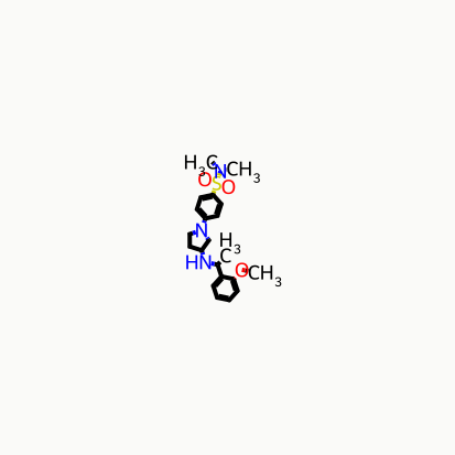 COc1ccccc1C(C)NC1CCN(c2ccc(S(=O)(=O)N(C)C)cc2)C1